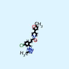 CC1=CCC(C2CCN(C(=O)/C=C/c3ccc(Cl)cc3Cn3nnc(C)n3)CC2)=CO1